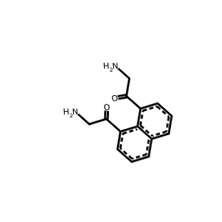 NCC(=O)c1cccc2cccc(C(=O)CN)c12